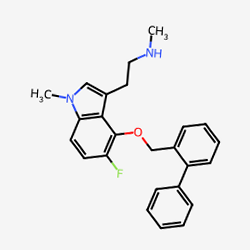 CNCCc1cn(C)c2ccc(F)c(OCc3ccccc3-c3ccccc3)c12